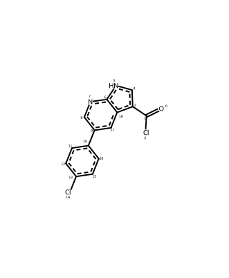 O=C(Cl)c1c[nH]c2ncc(-c3ccc(Cl)cc3)cc12